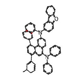 CC1C=C(c2ccc(-c3ccccc3)c3c2cc(N(c2ccccc2)c2ccccc2)c2ccc(N(c4ccccc4)c4ccc5oc6ccccc6c5c4)cc23)C=CC1